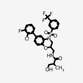 CC(CO)C(=O)NCC1CN(S(=O)(=O)c2cccc(C(F)(F)F)c2)c2cc(-c3cccc(F)c3Cl)ccc2O1